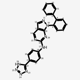 c1ccc(-c2ccccc2-n2ncc3cnc(Nc4ccc(-c5nnn[nH]5)cc4)nc32)cc1